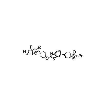 CCCS(=O)(=O)N1CC=C(c2ccc3nc(OC4CCN(S(=O)(=O)CC(C)(F)F)CC4)sc3c2)CC1